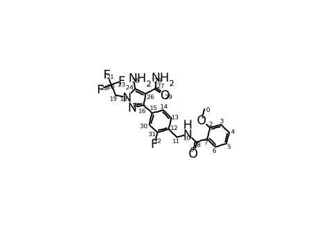 COc1ccccc1C(=O)NCc1ccc(-c2nn(CC(F)(F)F)c(N)c2C(N)=O)cc1F